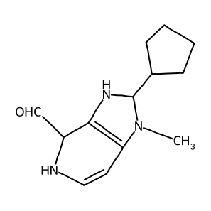 CN1C2=C(NC1C1CCCC1)C(C=O)NC=C2